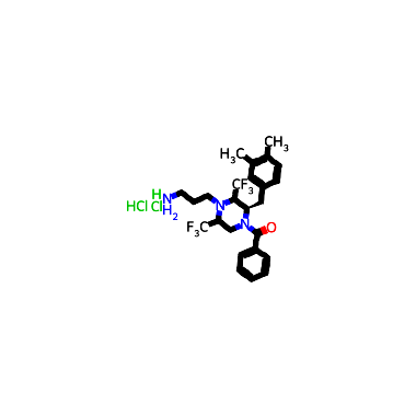 Cc1ccc(C[C@@H]2C(C(F)(F)F)N(CCCN)C(C(F)(F)F)CN2C(=O)c2ccccc2)cc1C.Cl.Cl